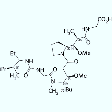 CCC(NC(=O)NCC(=O)N(C)[C@@H]([C@@H](C)CC)[C@@H](CC(=O)N1CCC[C@H]1[C@H](OC)[C@@H](C)C(=O)NCC(=O)O)OC)[C@@H](C)C(C)C